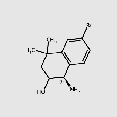 CC1(C)CC(O)[C@H](N)c2ccc(Br)cc21